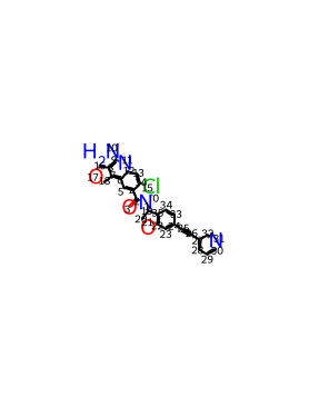 CN(C(=O)c1cc2c3c(c(N)nc2cc1Cl)COC3)[C@@H]1COc2cc(C#Cc3cccnc3)ccc21